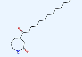 C=CCCCCCCCCCCC(=O)C1CCCNC(=O)C1